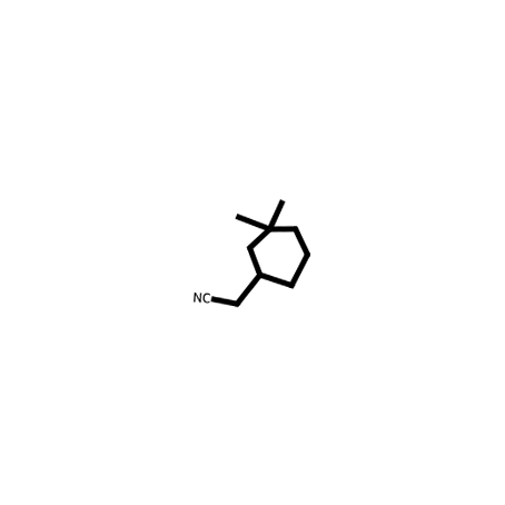 CC1(C)CCCC(CC#N)C1